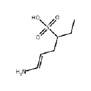 CCC(CC=CN)S(=O)(=O)O